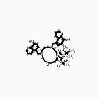 CC(C)(C)OC(=O)[N+]1(C(=O)OC(C)(C)C)CCCNCCN(Cc2ccc(O)c3ncccc23)CCCN(Cc2ccc(O)c3ncccc23)CC1